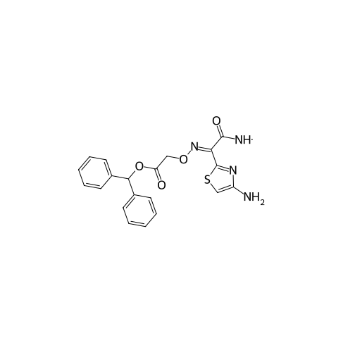 [NH]C(=O)C(=NOCC(=O)OC(c1ccccc1)c1ccccc1)c1nc(N)cs1